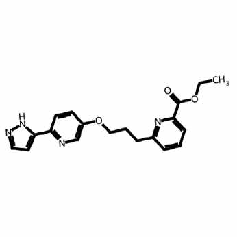 CCOC(=O)c1cccc(CCCOc2ccc(-c3ccn[nH]3)nc2)n1